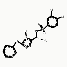 CCn1c(Oc2cccnc2)nnc1[C@@H](C)NS(=O)(=O)c1ccc(Cl)c(Cl)c1